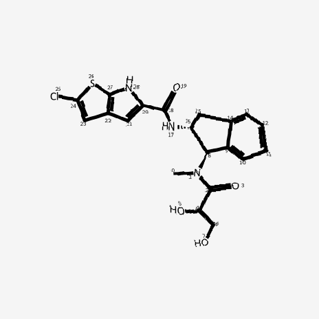 CN(C(=O)C(O)CO)[C@@H]1c2ccccc2C[C@H]1NC(=O)c1cc2cc(Cl)sc2[nH]1